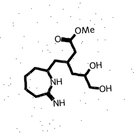 COC(=O)CC(CC(O)CO)CC1CCCCC(=N)N1